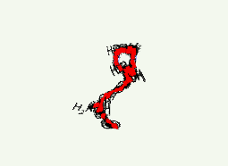 CO[C@H]1/C=C/O[C@@]2(C)Oc3c(C)c(O)c4c(=O)c(c5oc6cc(N7CC(OC(=O)OCc8ccc(NC(=O)[C@H](CCCNC(N)=O)NC(=O)[C@@H](NC(=O)CCCCCN9C(=O)C=CC9=O)C(C)C)cc8)C7)cc(O)c6nc-5c4c3C2=O)NC(=O)/C(C)=C\C=C\[C@H](C)[C@H](O)[C@@H](C)[C@@H](O)[C@@H](C)[C@H](OC(C)=O)[C@@H]1C